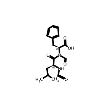 CC(C)C[C@H](NC=O)C(=O)N(C=O)[C@@H](Cc1ccccc1)C(=O)O